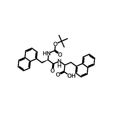 CC(C)(C)OC(=O)N[C@H](Cc1cccc2ccccc12)C(=O)NC(Cc1cccc2ccccc12)C(=O)O